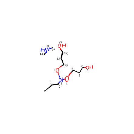 CCCN(OCCCO)OCCCO.CNC